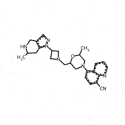 CC1Cc2c(cnn2C2CN(CC3CN(c4ccc(C#N)c5ncccc45)CC(C)O3)C2)CN1